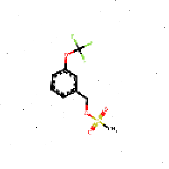 CS(=O)(=O)OCc1cccc(OC(F)(F)F)c1